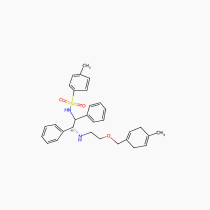 CC1=CCC(COCCN[C@H](c2ccccc2)C(NS(=O)(=O)c2ccc(C)cc2)c2ccccc2)=CC1